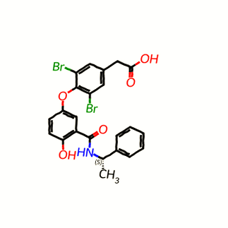 C[C@H](NC(=O)c1cc(Oc2c(Br)cc(CC(=O)O)cc2Br)ccc1O)c1ccccc1